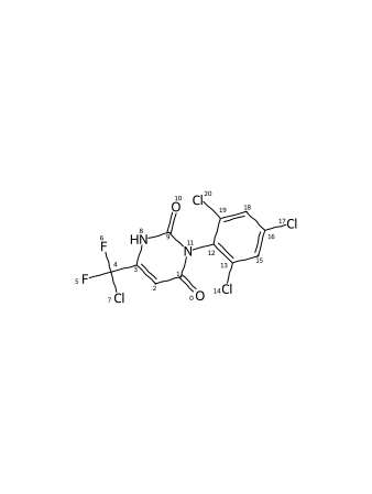 O=c1cc(C(F)(F)Cl)[nH]c(=O)n1-c1c(Cl)cc(Cl)cc1Cl